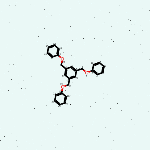 c1ccc(OCc2cc(COc3ccccc3)cc(COc3ccccc3)c2)cc1